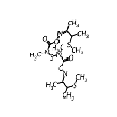 CSC(C)C(C)=NOC(=O)N(C)SN(C)C(=O)ON=C(C)C(C)SC